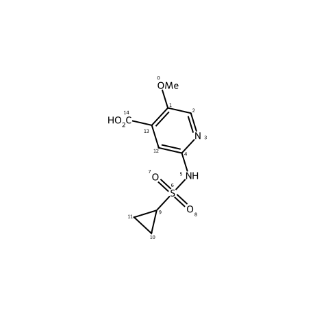 COc1cnc(NS(=O)(=O)C2CC2)cc1C(=O)O